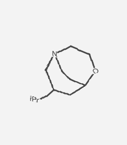 CC(C)C1CC2CCN(CCO2)C1